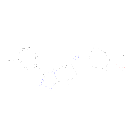 Cc1cccc(-c2nnc3ccc(N[C@H]4CC[C@](C)(O)CC4)cn23)c1